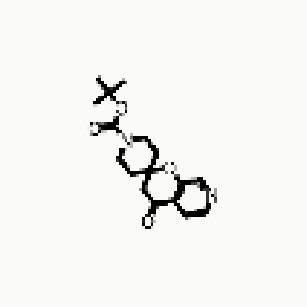 CC(C)(C)OC(=O)N1CCC2(CC1)CC(=O)c1ccncc1O2